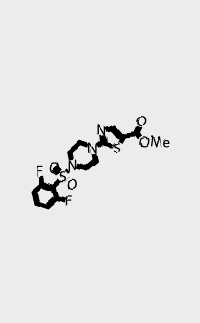 COC(=O)c1cnc(N2CCN(S(=O)(=O)c3c(F)cccc3F)CC2)s1